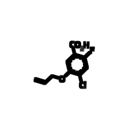 C=CCOc1cc(C(=O)O)c(F)cc1Cl